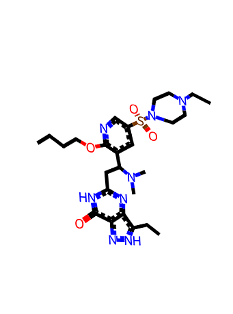 CCCCOc1ncc(S(=O)(=O)N2CCN(CC)CC2)cc1C(Cc1nc2c(CC)[nH]nc2c(=O)[nH]1)N(C)C